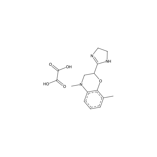 Cc1cccc2c1OC(C1=NCCN1)CN2C.O=C(O)C(=O)O